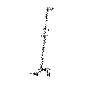 CNC(=N)NCCCC(CNC(C=O)CSSCC(C)NI)NC(=O)CCOCCOCCOCCOCCOCCOCCOCCOCCNC(=O)CCCNC(=O)CCCCCCCCCCCCCCCCC(=O)O